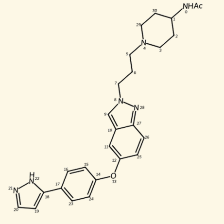 CC(=O)NC1CCN(CCCn2cc3cc(Oc4ccc(-c5ccn[nH]5)cc4)ccc3n2)CC1